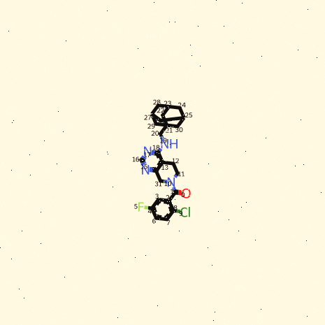 O=C(c1cc(F)ccc1Cl)N1CCc2c(ncnc2NCC23CC4CC(CC(C4)C2)C3)C1